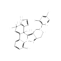 CCc1cccc2c1-n1nc3c(c1C1(C)C2=CC(C)(F)c2[nH]ccc21)CN(c1ncc(C(F)(F)F)cc1Cl)CC3